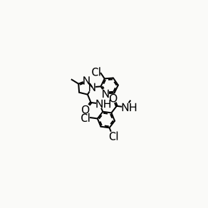 CNC(=O)c1cc(Cl)cc(Cl)c1NC(=O)C1CC(C)=NN1c1ncccc1Cl